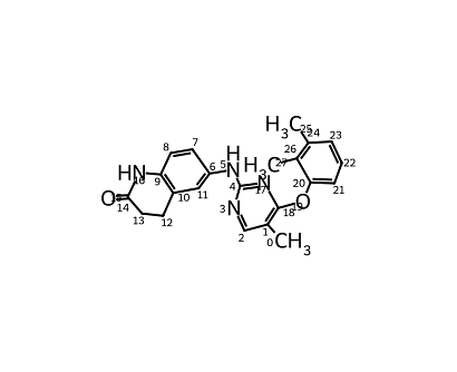 Cc1cnc(Nc2ccc3c(c2)CCC(=O)N3)nc1Oc1cccc(C)c1C